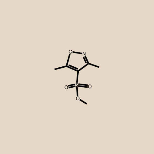 COS(=O)(=O)c1c(C)noc1C